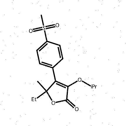 CCC1(C)OC(=O)C(OC(C)C)=C1c1ccc(S(C)(=O)=O)cc1